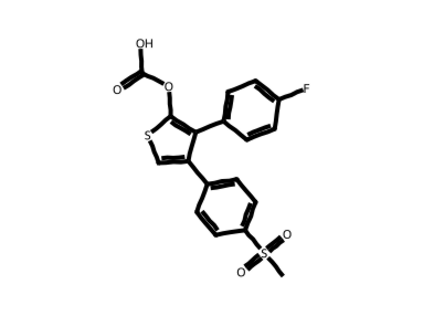 CS(=O)(=O)c1ccc(-c2csc(OC(=O)O)c2-c2ccc(F)cc2)cc1